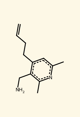 C=CCCc1cc(C)nc(C)c1CN